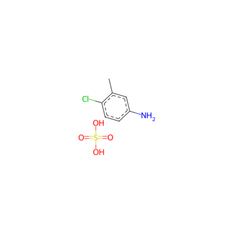 Cc1cc(N)ccc1Cl.O=S(=O)(O)O